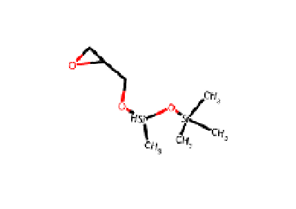 C[SiH](OCC1CO1)O[Si](C)(C)C